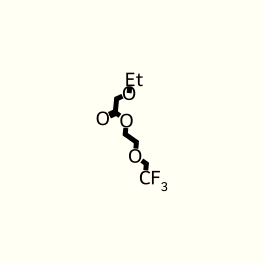 CCOCC(=O)OCCOCC(F)(F)F